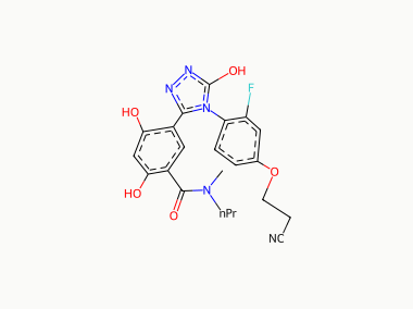 CCCN(C)C(=O)c1cc(-c2nnc(O)n2-c2ccc(OCCC#N)cc2F)c(O)cc1O